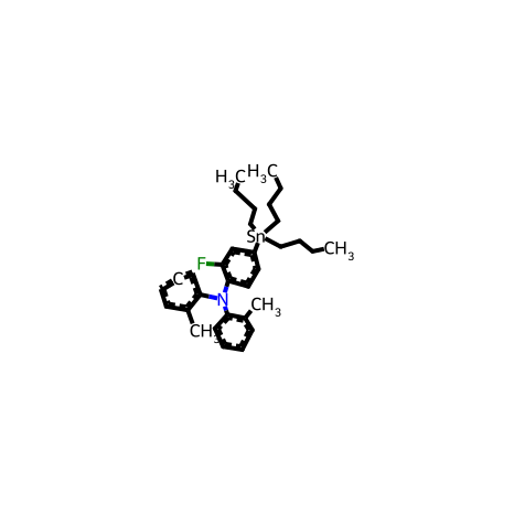 CCC[CH2][Sn]([CH2]CCC)([CH2]CCC)[c]1ccc(N(c2ccccc2C)c2ccccc2C)c(F)c1